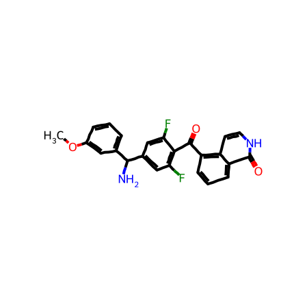 COc1cccc(C(N)c2cc(F)c(C(=O)c3cccc4c(=O)[nH]ccc34)c(F)c2)c1